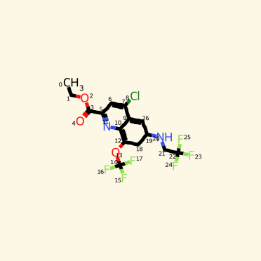 CCOC(=O)c1cc(Cl)c2c(n1)=C(OC(F)(F)F)CC(NCC(F)(F)F)C=2